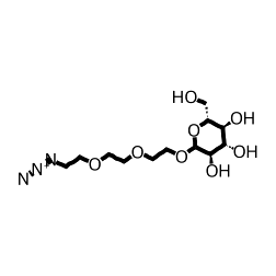 [N-]=[N+]=NCCOCCOCCOC1O[C@H](CO)[C@@H](O)[C@H](O)[C@H]1O